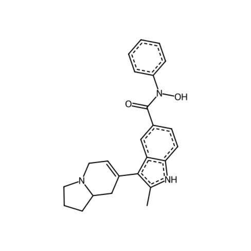 Cc1[nH]c2ccc(C(=O)N(O)c3ccccc3)cc2c1C1=CCN2CCCC2C1